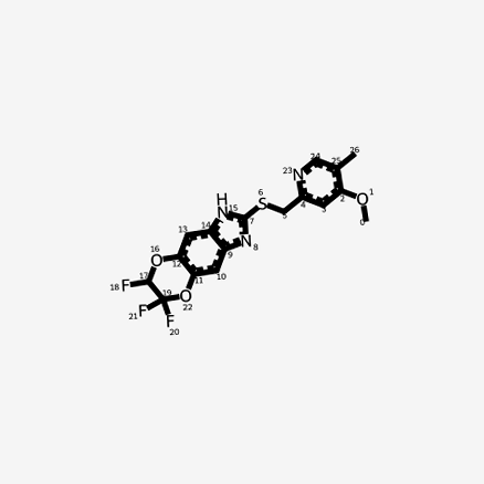 COc1cc(CSc2nc3cc4c(cc3[nH]2)OC(F)C(F)(F)O4)ncc1C